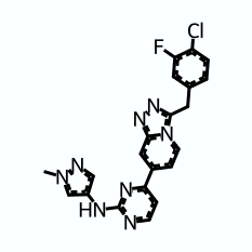 Cn1cc(Nc2nccc(-c3ccn4c(Cc5ccc(Cl)c(F)c5)nnc4c3)n2)cn1